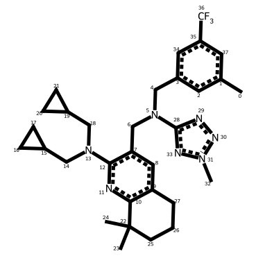 Cc1cc(CN(Cc2cc3c(nc2N(CC2CC2)CC2CC2)C(C)(C)CCC3)c2nnn(C)n2)cc(C(F)(F)F)c1